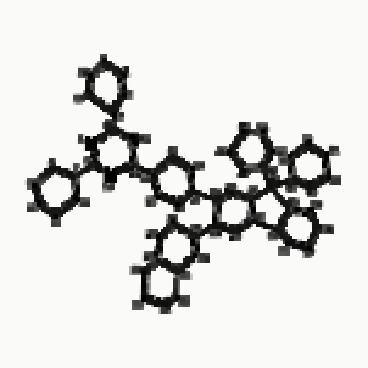 c1ccc(-c2nc(-c3ccccc3)nc(-c3ccc(-c4cc5c(cc4-c4ccc6ccccc6c4)-c4ccccc4C5(c4ccccc4)c4ccccc4)cc3)n2)cc1